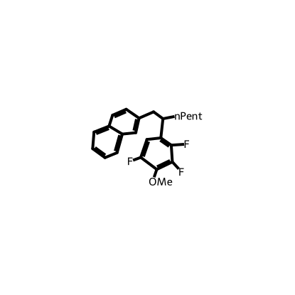 CCCCCC(Cc1ccc2ccccc2c1)c1cc(F)c(OC)c(F)c1F